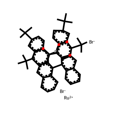 CC(C)(C)c1ccc(P(c2ccc(C(C)(C)C)cc2)c2ccc3ccccc3c2-c2c(P(c3ccc(C(C)(C)C)cc3)c3ccc(C(C)(C)C)cc3)ccc3ccccc23)cc1.[Br-].[Br-].[Ru+2]